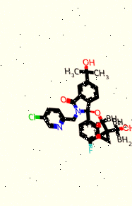 BC(B)(O)C1(C(B)(B)O[C@]2(c3ccc(F)cc3)c3ccc(C(C)(C)O)cc3C(=O)N2Cc2ccc(Cl)cn2)CC1